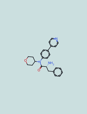 N[C@H](Cc1ccccc1)C(=O)N(c1ccc(-c2ccncc2)cc1)C1CCOCC1